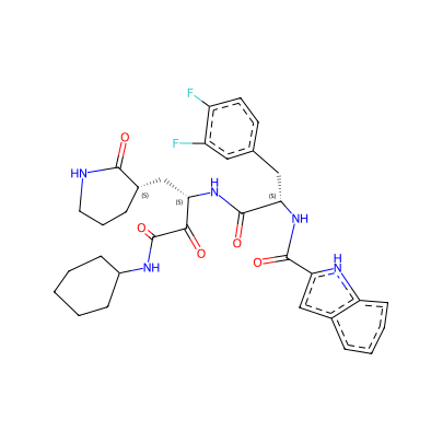 O=C(NC1CCCCC1)C(=O)[C@H](C[C@@H]1CCCNC1=O)NC(=O)[C@H](Cc1ccc(F)c(F)c1)NC(=O)c1cc2ccccc2[nH]1